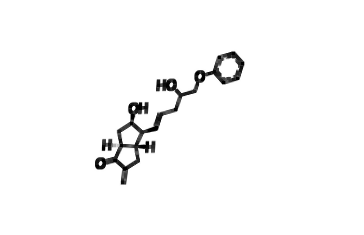 C=C1C[C@H]2[C@H](/C=C/CC(O)COc3ccccc3)[C@H](O)C[C@@H]2C1=O